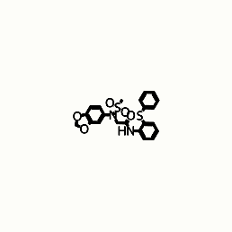 CS(=O)(=O)N(CC(=O)Nc1ccccc1Sc1ccccc1)c1ccc2c(c1)OCO2